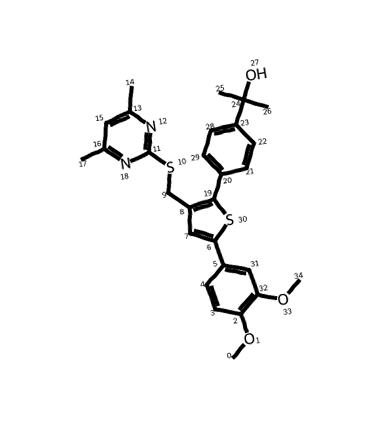 COc1ccc(-c2cc(CSc3nc(C)cc(C)n3)c(-c3ccc(C(C)(C)O)cc3)s2)cc1OC